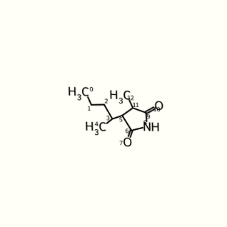 CCCC(C)C1C(=O)NC(=O)C1C